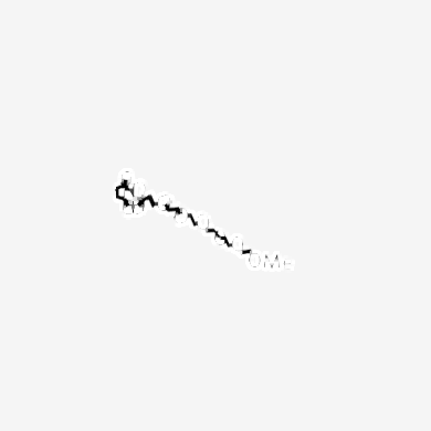 COCCOCCOCCOCCOCCOCCC(=O)ON1C(=O)CCC1=O